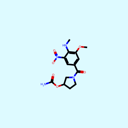 CNc1c(OC)cc(C(=O)N2CCC(OC(N)=O)C2)cc1[N+](=O)[O-]